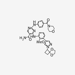 COc1c(Nc2nc(Nc3ccc(C(=O)N4CCOCC4)cc3)ncc2C(N)=O)cccc1-c1cnn(C2CCC23OCCO3)c1